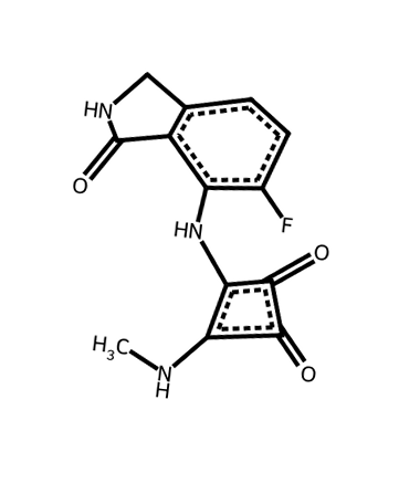 CNc1c(Nc2c(F)ccc3c2C(=O)NC3)c(=O)c1=O